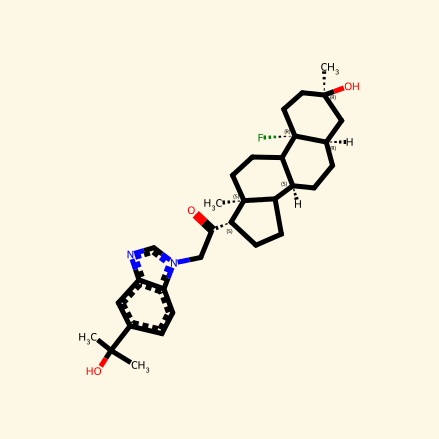 CC(C)(O)c1ccc2c(c1)ncn2CC(=O)[C@H]1CCC2[C@@H]3CC[C@@H]4C[C@](C)(O)CC[C@]4(F)C3CC[C@@]21C